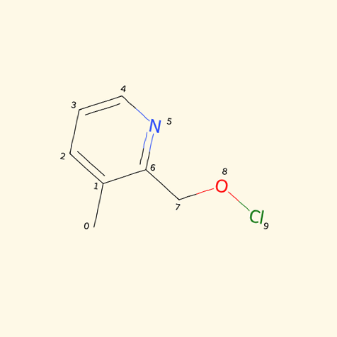 Cc1cccnc1COCl